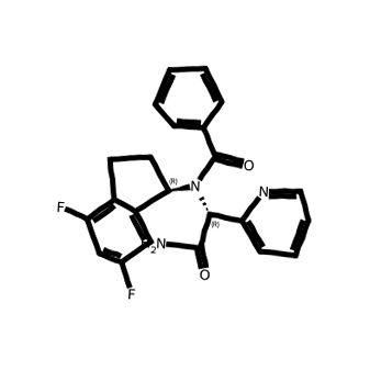 NC(=O)[C@@H](c1ccccn1)N(C(=O)c1ccccc1)[C@@H]1CCc2c(F)cc(F)cc21